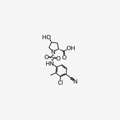 Cc1c(NS(=O)(=O)N2C[C@@H](O)C[C@H]2C(=O)O)ccc(C#N)c1Cl